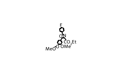 CCOC(=O)Cc1nc(-c2ccc(F)cc2)oc1-c1ccc(OCOC)c(OC)c1